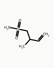 C=CC(C)CS(N)(=O)=O